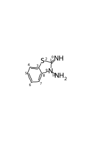 N=c1sc2ccccc2n1N